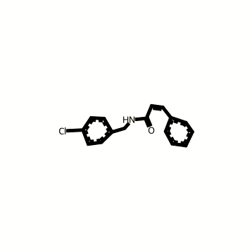 O=C(/C=C\c1ccccc1)NCc1ccc(Cl)cc1